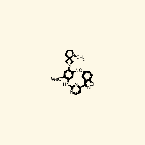 COc1cc(N2CC3(CCCN3C)C2)c([N+](=O)[O-])cc1Nc1nccc(-c2noc3ccccc23)n1